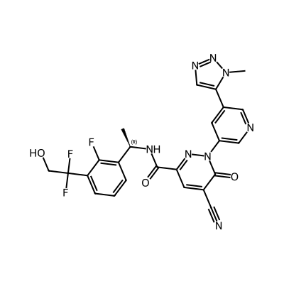 C[C@@H](NC(=O)c1cc(C#N)c(=O)n(-c2cncc(-c3cnnn3C)c2)n1)c1cccc(C(F)(F)CO)c1F